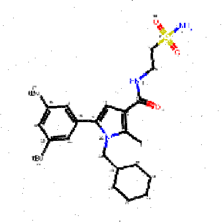 Cc1c(C(=O)NCCS(N)(=O)=O)cc(-c2cc(C(C)(C)C)cc(C(C)(C)C)c2)n1CC1CCCCC1